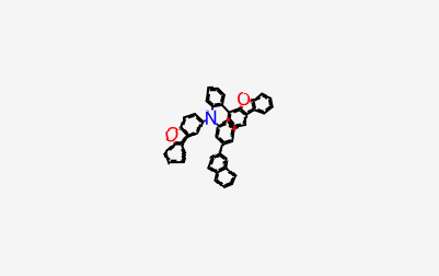 c1cc(-c2ccc3ccccc3c2)cc(N(c2ccc3oc4ccccc4c3c2)c2ccccc2-c2cccc3c2oc2ccccc23)c1